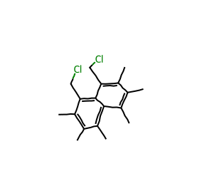 Cc1c(C)c(CCl)c2c(CCl)c(C)c(C)c(C)c2c1C